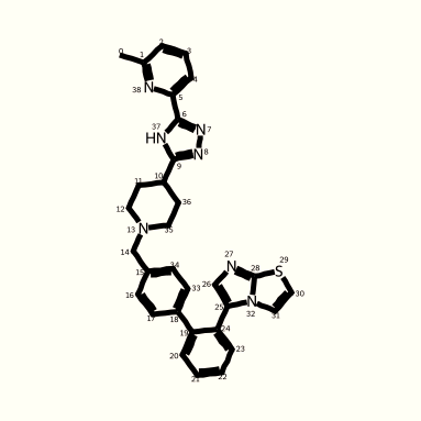 Cc1cccc(-c2nnc(C3CCN(Cc4ccc(-c5ccccc5-c5cnc6sccn56)cc4)CC3)[nH]2)n1